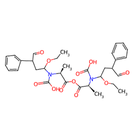 CCOC(CC(C=O)c1ccccc1)N(C(=O)O)[C@@H](C)C(=O)OC(=O)[C@H](C)N(C(=O)O)C(CC(C=O)c1ccccc1)OCC